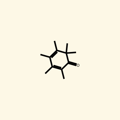 CC1=C(C)C(C)=C(C)C(C)(C)C1=O